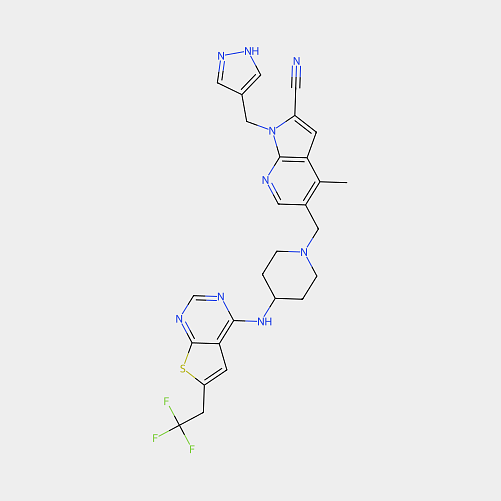 Cc1c(CN2CCC(Nc3ncnc4sc(CC(F)(F)F)cc34)CC2)cnc2c1cc(C#N)n2Cc1cn[nH]c1